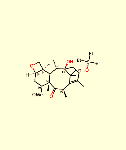 CC[Si](CC)(CC)O[C@H]1C[C@@]2(O)[C@@H](C)C3[C@]4(C)CO[C@@H]4C[C@H](OC)[C@@]3(C)C(=O)[C@H](C)C(=C1C)C2(C)C